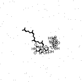 CC(C)=CCCC(C)=CCCC(C)=CCCC(C)=CC[C@@]1(n2cnc3c(=O)[nH]c(=O)[nH]c32)O[C@H](COP(=O)(O)OP(=O)(O)OP(=O)(O)O)[C@@H](O)[C@H]1O